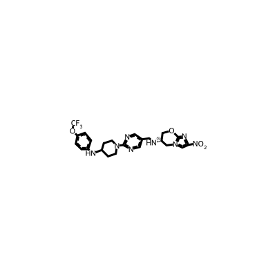 O=[N+]([O-])c1cn2c(n1)OC[C@@H](NCc1cnc(N3CCC(Nc4ccc(OC(F)(F)F)cc4)CC3)nc1)C2